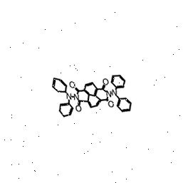 O=C1c2ccc3c4c(ccc(c24)C(=O)N1N(c1ccccc1)c1ccccc1)C(=O)N(N(C1=CCCC=C1)C1C=CC=CC1)C3=O